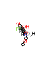 C[C@]12C=CC(=O)C=C1[C@@H](F)C[C@H]1[C@@H]3C[C@H]4CN(Cc5ccc(OCc6ccccc6)cc5)O[C@@]4(C(=O)O)[C@@]3(C)C[C@H](O)[C@@]12F